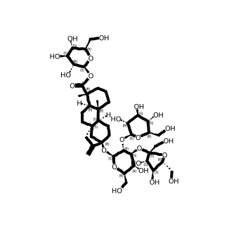 C=C1C[C@]23CC[C@@H]4[C@](C)(CCC[C@@]4(C)C(=O)O[C@@H]4O[C@H](CO)[C@@H](O)[C@H](O)[C@H]4O)[C@H]2CC[C@@]1(O[C@@H]1O[C@H](CO)[C@@H](O)[C@H](O[C@]2(CO)O[C@H](CO)[C@@H](O)[C@@H]2O)[C@H]1O[C@@H]1O[C@H](CO)[C@@H](O)[C@H](O)[C@H]1O)C3